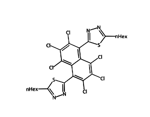 CCCCCCc1nnc(-c2c(Cl)c(Cl)c(Cl)c3c(-c4nnc(CCCCCC)s4)c(Cl)c(Cl)c(Cl)c23)s1